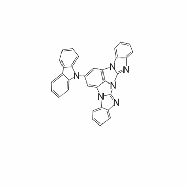 c1ccc2c(c1)nc1n2c2cc(-n3c4ccccc4c4ccccc43)cc3c2n1c1nc2ccccc2n31